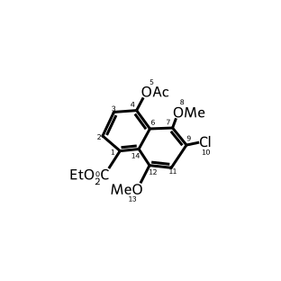 CCOC(=O)c1ccc(OC(C)=O)c2c(OC)c(Cl)cc(OC)c12